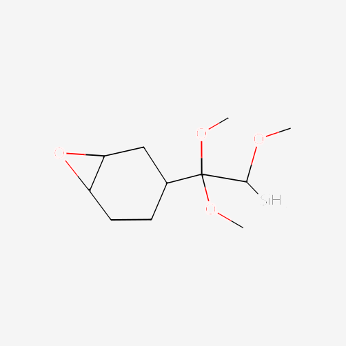 COC([SiH3])C(OC)(OC)C1CCC2OC2C1